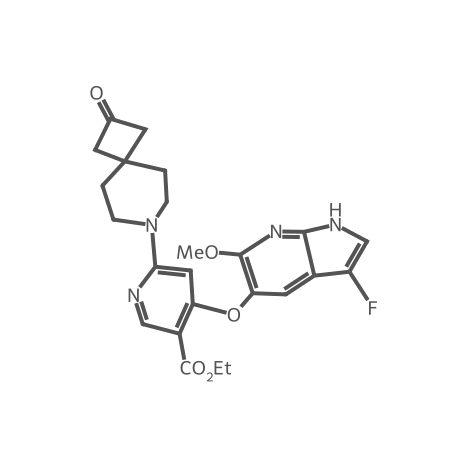 CCOC(=O)c1cnc(N2CCC3(CC2)CC(=O)C3)cc1Oc1cc2c(F)c[nH]c2nc1OC